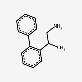 CC(CN)c1ccccc1-c1ccccc1